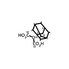 C1C2CC3CC1CC(C2)C3.O=C(O)OC(=O)O